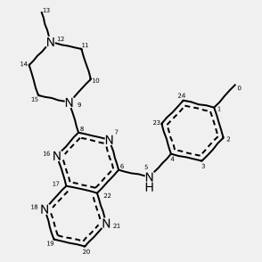 Cc1ccc(Nc2nc(N3CCN(C)CC3)nc3nccnc23)cc1